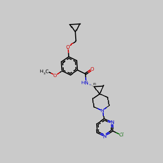 COc1cc(OCC2CC2)cc(C(=O)N[C@@H]2CC23CCN(c2ccnc(Cl)n2)CC3)c1